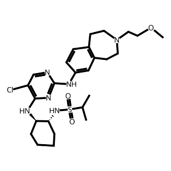 COCCN1CCc2ccc(Nc3ncc(Cl)c(N[C@@H]4CCCC[C@H]4NS(=O)(=O)C(C)C)n3)cc2CC1